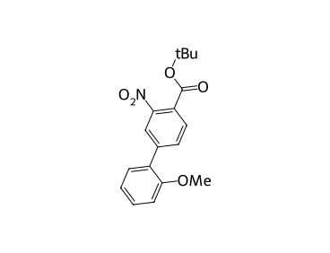 COc1ccccc1-c1ccc(C(=O)OC(C)(C)C)c([N+](=O)[O-])c1